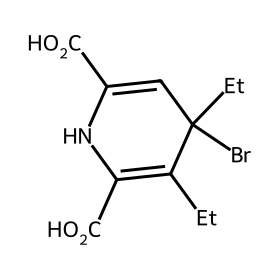 CCC1=C(C(=O)O)NC(C(=O)O)=CC1(Br)CC